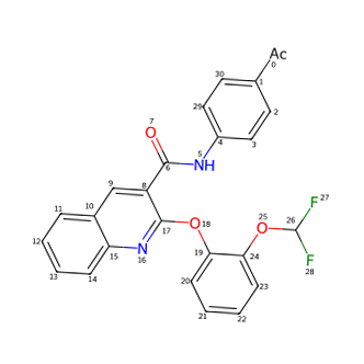 CC(=O)c1ccc(NC(=O)c2cc3ccccc3nc2Oc2ccccc2OC(F)F)cc1